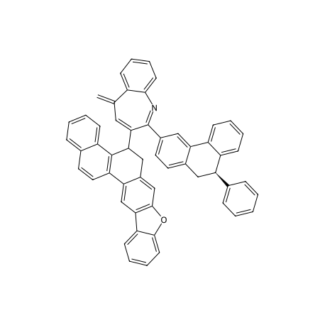 C=C1C=C(C2Cc3cc4oc5ccccc5c4cc3-c3ccc4ccccc4c32)C(c2ccc3c(c2)-c2ccccc2[C@@H](c2ccccc2)C3)=Nc2ccccc21